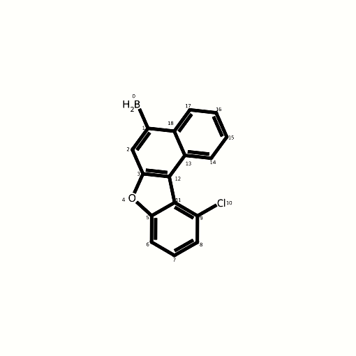 Bc1cc2oc3cccc(Cl)c3c2c2ccccc12